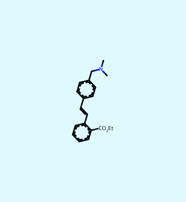 CCOC(=O)c1ccccc1/C=C/c1ccc(CN(C)C)cc1